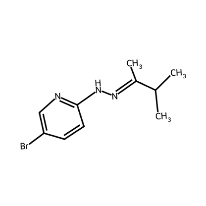 C/C(=N\Nc1ccc(Br)cn1)C(C)C